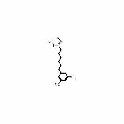 CCCO[SiH](CCCCCCc1cc(C(F)(F)F)cc(C(F)(F)F)c1)OCCC